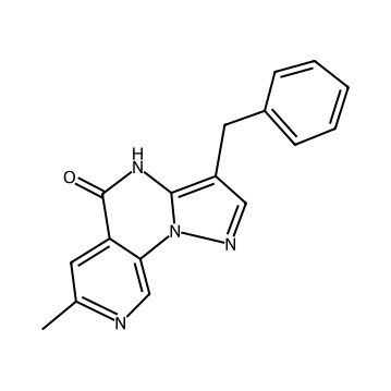 Cc1cc2c(=O)[nH]c3c(Cc4ccccc4)cnn3c2cn1